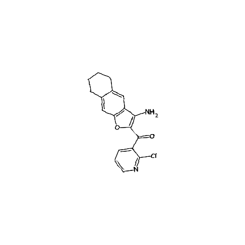 Nc1c(C(=O)c2cccnc2Cl)oc2cc3c(cc12)CCCC3